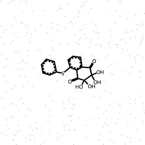 O=C1c2cccc(Sc3ccccc3)c2C(=O)C(O)(O)C1(O)O